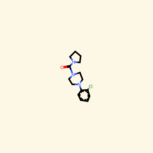 O=C(N1CCCC1)N1CCN(c2ccccc2Cl)CC1